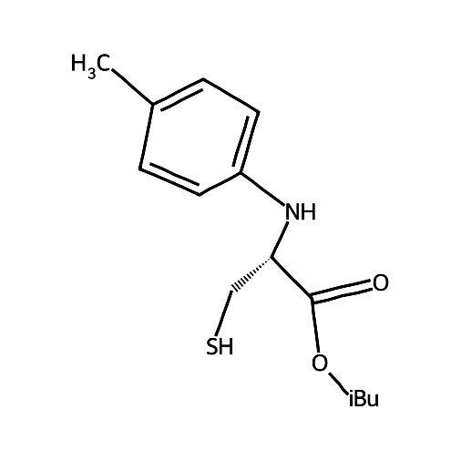 CCC(C)OC(=O)[C@H](CS)Nc1ccc(C)cc1